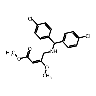 COC(=O)/C=C(\CNC(c1ccc(Cl)cc1)c1ccc(Cl)cc1)OC